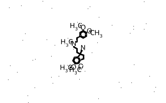 COc1ccc(CCN(C)CCCC2(C#N)CCc3c2ccc(OC)c3OC)cc1OC